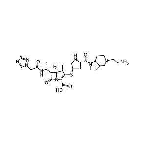 C[C@@H](NC(=O)Cn1cnnn1)[C@H]1C(=O)N2C(C(=O)O)=C(SC3CN[C@H](C(=O)N4CCC5CN(CCN)CCC54)C3)[C@H](C)[C@H]12